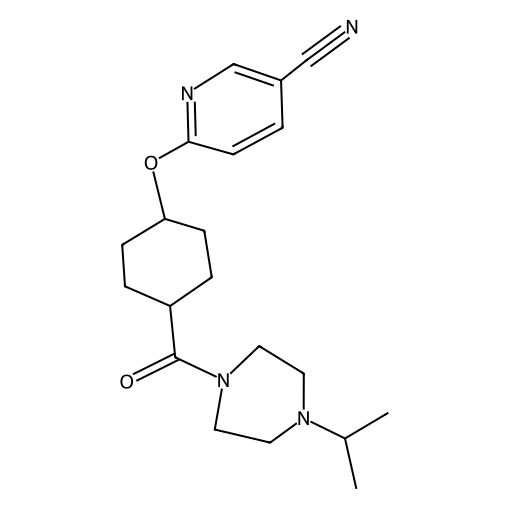 CC(C)N1CCN(C(=O)C2CCC(Oc3ccc(C#N)cn3)CC2)CC1